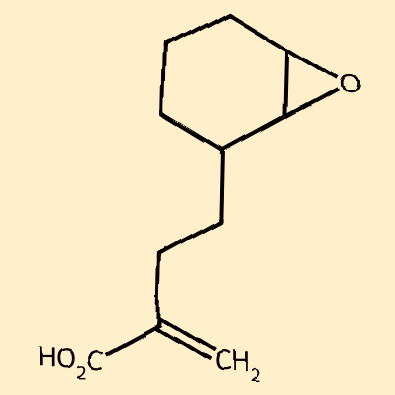 C=C(CCC1CCCC2OC12)C(=O)O